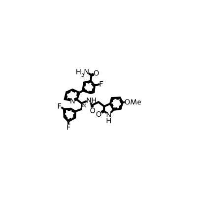 COc1ccc2c(c1)NC(=O)C2CC(=O)N[C@@H](Cc1cc(F)cc(F)c1)c1ncccc1-c1ccc(F)c(C(N)=O)c1